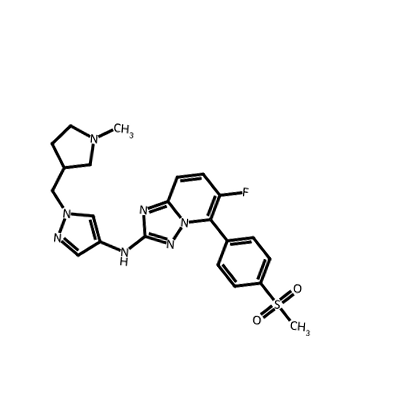 CN1CCC(Cn2cc(Nc3nc4ccc(F)c(-c5ccc(S(C)(=O)=O)cc5)n4n3)cn2)C1